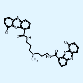 CN(CCCNC(=O)c1cccc2nc3cccc(Cl)c3nc12)CCCNC(=O)c1cccc2nc3cccc(Cl)c3nc12